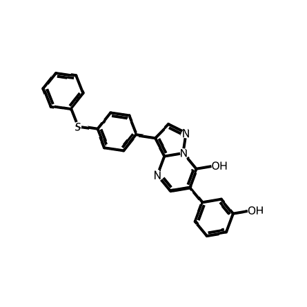 Oc1cccc(-c2cnc3c(-c4ccc(Sc5ccccc5)cc4)cnn3c2O)c1